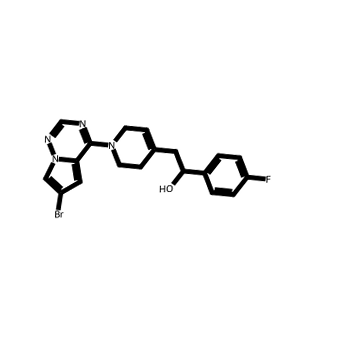 OC(CC1=CCN(c2ncnn3cc(Br)cc23)CC1)c1ccc(F)cc1